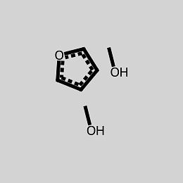 CO.CO.c1ccoc1